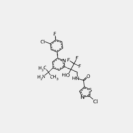 CC(C)(N)c1cc(-c2ccc(F)c(Cl)c2)nc(C(O)(CNC(=O)c2cnc(Cl)s2)C(F)(F)F)c1